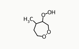 CC1CCOOCC1OO